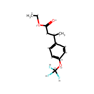 CCOC(=O)CC(C)c1ccc(OC(F)(F)F)cc1